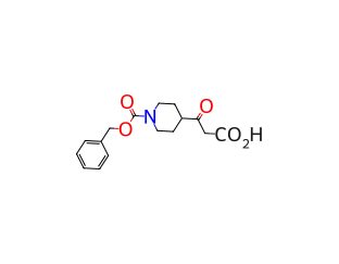 O=C(O)CC(=O)C1CCN(C(=O)OCc2ccccc2)CC1